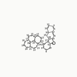 C1=CC2=Cc3oc4cccc(-c5ccc6ccc7cccc8ccc5c6c78)c4c3CC2C=C1